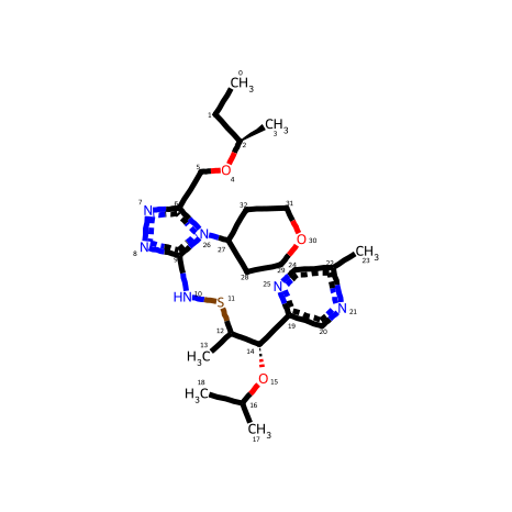 CC[C@@H](C)OCc1nnc(NSC(C)[C@@H](OC(C)C)c2cnc(C)cn2)n1C1CCOCC1